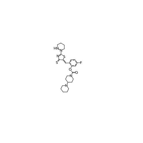 O=C(Oc1cc(F)ccc1/C=C1\SC(N2CCCCN2)=NC1=S)N1CCC(N2CCCCC2)CC1